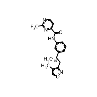 Cc1conc1C[C@H](C)c1cccc(NC(=O)c2ccnc(C(F)(F)F)n2)c1